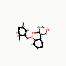 CNC(=O)[C@@H](CO)c1ccccc1OCc1cc(C)ccc1C